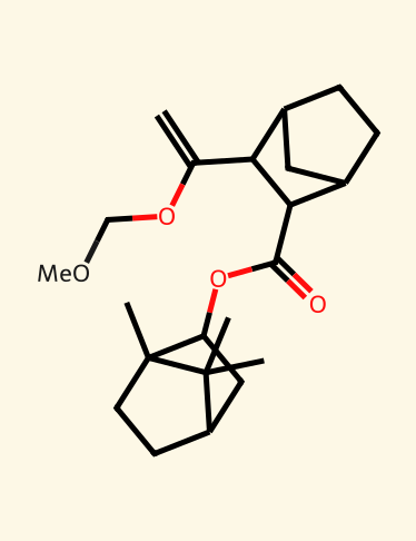 C=C(OCOC)C1C2CCC(C2)C1C(=O)OC1CC2CCC1(C)C2(C)C